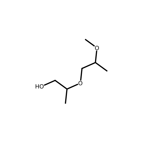 COC(C)COC(C)CO